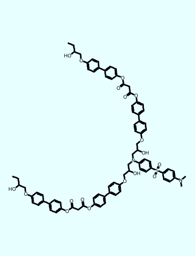 CCC(O)COc1ccc(-c2ccc(OC(=O)CC(=O)Oc3ccc(-c4ccc(OCC(O)CN(CC(O)COc5ccc(-c6ccc(OC(=O)CC(=O)Oc7ccc(-c8ccc(OCC(O)CC)cc8)cc7)cc6)cc5)c5ccc(S(=O)(=O)c6ccc(N(C)C)cc6)cc5)cc4)cc3)cc2)cc1